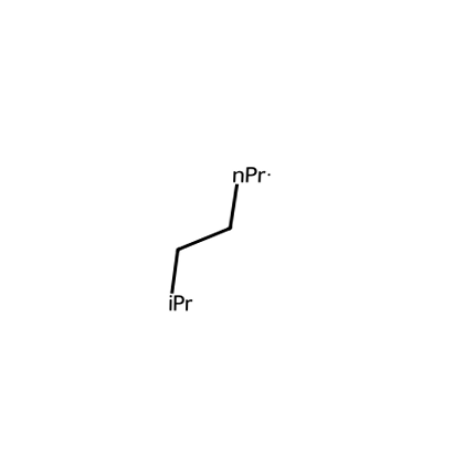 [CH2]C(C)CC[CH]CC